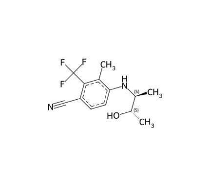 Cc1c(N[C@@H](C)[C@H](C)O)ccc(C#N)c1C(F)(F)F